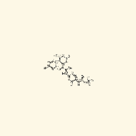 Cc1cc(NC(=O)C(=O)N2C[C@H](C)C[C@@H](F)[C@H]2c2ccc(F)cc2)cnc1NC(=O)OC(C)(C)C